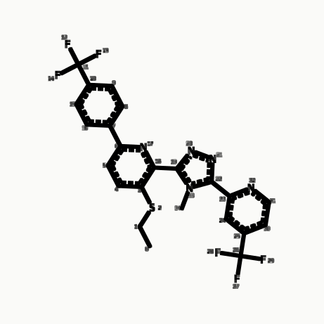 CCSc1ccc(-c2ccc(C(F)(F)F)cc2)nc1-c1nnc(-c2cc(C(F)(F)F)ccn2)n1C